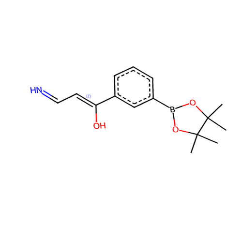 CC1(C)OB(c2cccc(/C(O)=C/C=N)c2)OC1(C)C